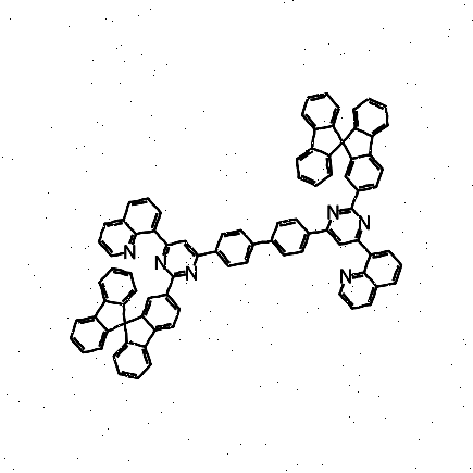 c1ccc2c(c1)-c1ccccc1C21c2ccccc2-c2ccc(-c3nc(-c4ccc(-c5ccc(-c6cc(-c7cccc8cccnc78)nc(-c7ccc8c(c7)C7(c9ccccc9-c9ccccc97)c7ccccc7-8)n6)cc5)cc4)cc(-c4cccc5cccnc45)n3)cc21